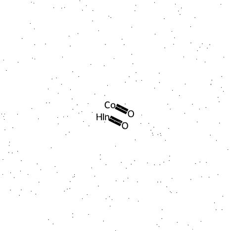 [O]=[Co].[O]=[InH]